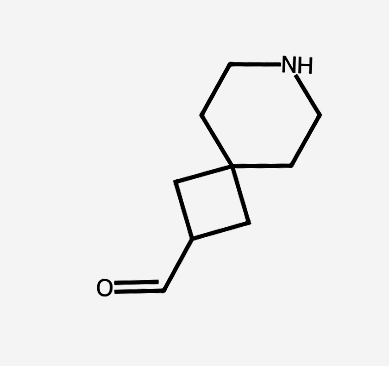 O=CC1CC2(CCNCC2)C1